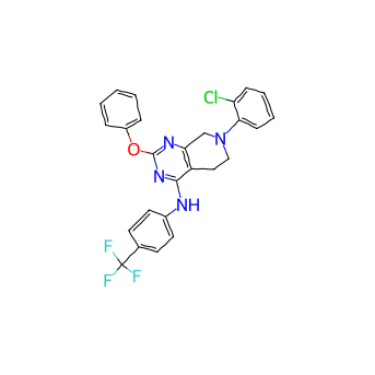 FC(F)(F)c1ccc(Nc2nc(Oc3ccccc3)nc3c2CCN(c2ccccc2Cl)C3)cc1